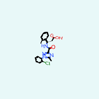 Cc1ccccc1[C@H](CC(=O)O)NC(=O)c1nc(C)n(-c2ccccc2Cl)n1